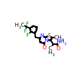 Cc1sc2nc(Cc3cccc(C(C)(F)F)c3F)cc(=O)n2c1C(C)C(N)=O